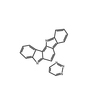 c1ccc2c(c1)N=c1ccc3c(c1-2)N=c1ccccc1=3.c1cnnnc1